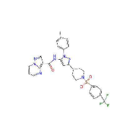 Cc1ccc(-n2nc(C3CCN(S(=O)(=O)c4ccc(C(F)(F)F)cc4)CC3)cc2NC(=O)c2cnn3cccnc23)cc1